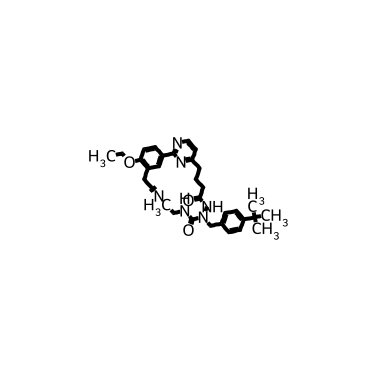 CCNC(=O)N(Cc1ccc(C(C)(C)C)cc1)NC(=O)CCCc1ccnc(-c2ccc(OCC)c(CC#N)c2)n1